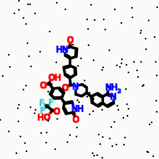 Nc1nccc2ccc(C3CCN(C(=O)c4ccc(-c5ccc(=O)[nH]c5)cc4)CC3)cc12.O=C(O)C(F)(F)F.O=C(O)c1ccc(-c2ccc(=O)[nH]c2)cc1